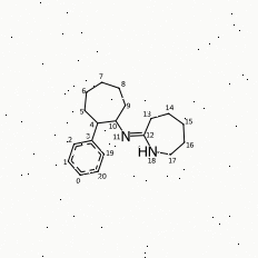 c1ccc(C2CCCCCC2N=C2CCCCCN2)cc1